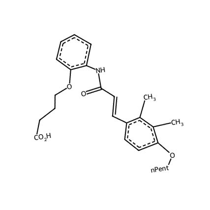 CCCCCOc1ccc(C=CC(=O)Nc2ccccc2OCCCC(=O)O)c(C)c1C